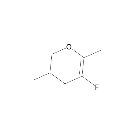 CC1=C(F)CC(C)CO1